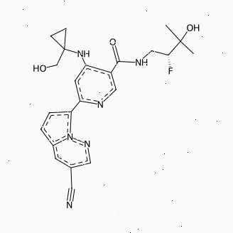 CC(C)(O)[C@H](F)CNC(=O)c1cnc(-c2ccc3cc(C#N)cnn23)cc1NC1(CO)CC1